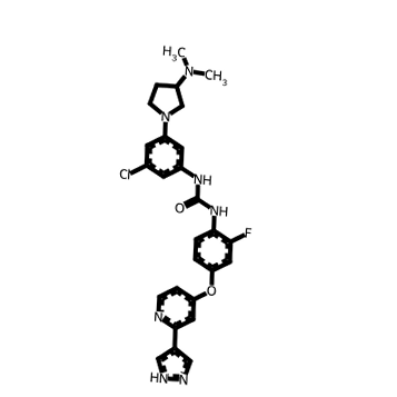 CN(C)C1CCN(c2cc(Cl)cc(NC(=O)Nc3ccc(Oc4ccnc(-c5cn[nH]c5)c4)cc3F)c2)C1